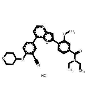 CCN(CC)C(=O)c1ccc(-c2cc3nccc(-c4ccc(OC5CCOCC5)c(C#N)c4)c3o2)c(OC)c1.Cl